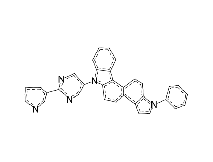 c1ccc(-n2ccc3c4ccc5c(c4ccc32)c2ccccc2n5-c2cnc(-c3cccnc3)nc2)cc1